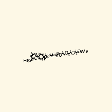 COCCOCCOCCOCCOCCOC[C@]1(F)CC[C@@H](c2nccc(CO)n2)CC1